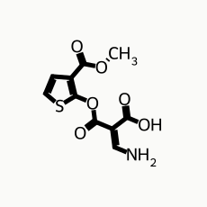 COC(=O)c1ccsc1OC(=O)C(=CN)C(=O)O